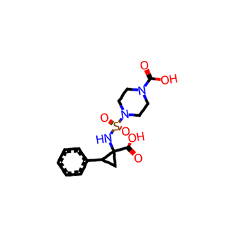 O=C(O)N1CCN(S(=O)(=O)NC2(C(=O)O)CC2c2ccccc2)CC1